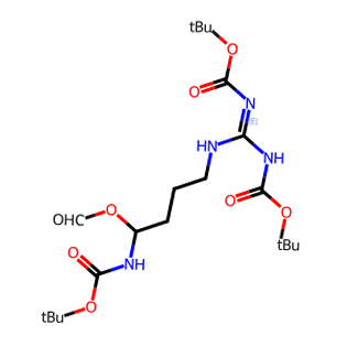 CC(C)(C)OC(=O)/N=C(\NCCCC(NC(=O)OC(C)(C)C)OC=O)NC(=O)OC(C)(C)C